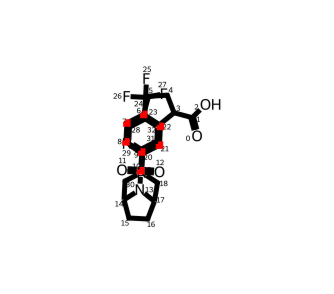 O=C(O)C1CCc2ccc(S(=O)(=O)N3C4CCC3CN(c3ccc(C(F)(F)F)cn3)C4)cc21